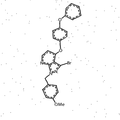 COc1ccc(Cn2nc(Br)c3c(Oc4ccc(Oc5ccccc5)cc4)ccnc32)cc1